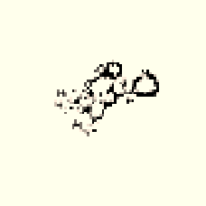 CN(Cc1cc(S(=O)(=O)c2cccnc2)c(-c2cccnc2Cl)s1)C(=O)OC(C)(C)C